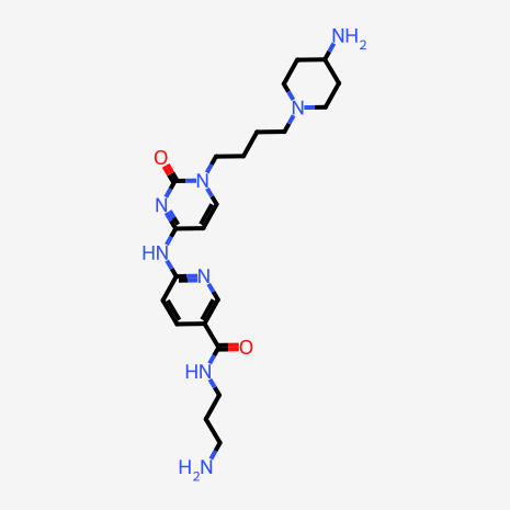 NCCCNC(=O)c1ccc(Nc2ccn(CCCCN3CCC(N)CC3)c(=O)n2)nc1